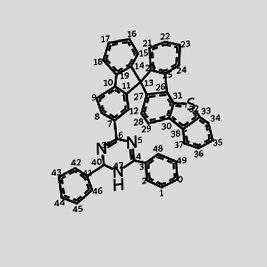 c1ccc(C2=NC(c3ccc4c(c3)C3(c5ccccc5-4)c4ccccc4-c4c3ccc3c4sc4ccccc43)=NC(c3ccccc3)N2)cc1